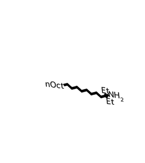 CCCCCCCCCCCCCCCCC(N)(CC)CC